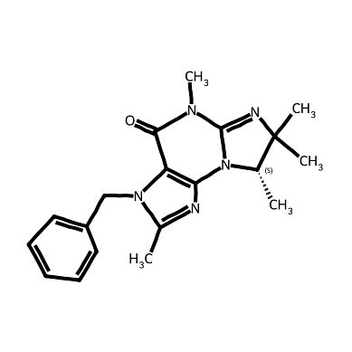 Cc1nc2c(n1Cc1ccccc1)C(=O)N(C)C1=NC(C)(C)[C@H](C)N12